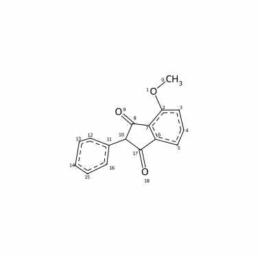 COc1cccc2c1C(=O)C(c1ccccc1)C2=O